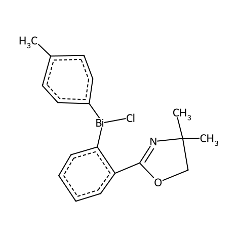 Cc1cc[c]([Bi]([Cl])[c]2ccccc2C2=NC(C)(C)CO2)cc1